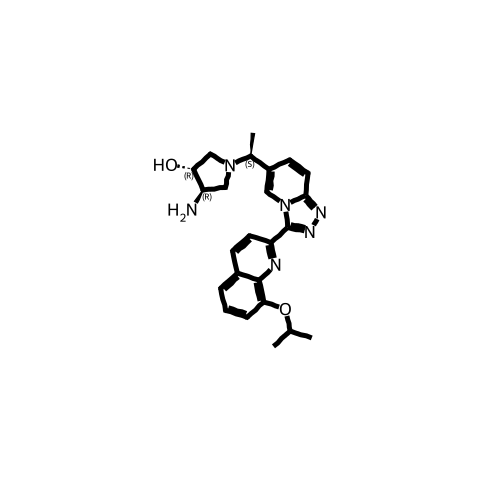 CC(C)Oc1cccc2ccc(-c3nnc4ccc([C@H](C)N5C[C@@H](N)[C@H](O)C5)cn34)nc12